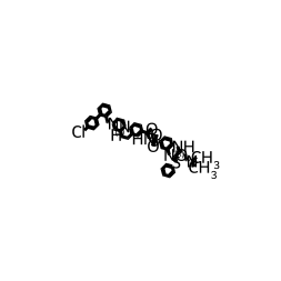 CN(C)CC[C@H](CSc1ccccc1)Nc1ccc(S(=O)(=O)NC(=O)c2ccc3c(c2)CC[C@H]2CN(Cc4ccccc4-c4ccc(Cl)cc4)CCN32)cc1[N+](=O)[O-]